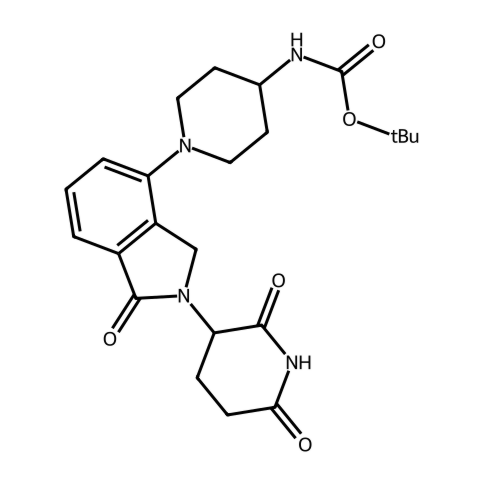 CC(C)(C)OC(=O)NC1CCN(c2cccc3c2CN(C2CCC(=O)NC2=O)C3=O)CC1